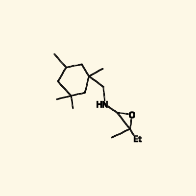 CCC1(C)OC1NCC1(C)CC(C)CC(C)(C)C1